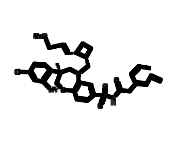 C=C/C=C(\C=C/C)CC(=O)NS(=O)(=O)c1ccc2c(c1)N(C[C@@H]1CC[C@H]1/C=C/COC)C[C@](C)(c1ccc(Cl)cc1CCC)CO2